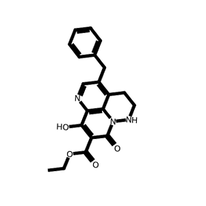 CCOC(=O)c1c(O)c2ncc(Cc3ccccc3)c3c2n(c1=O)NCC3